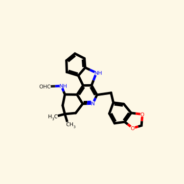 CC1(C)Cc2nc(Cc3ccc4c(c3)OCO4)c3[nH]c4ccccc4c3c2C(NC=O)C1